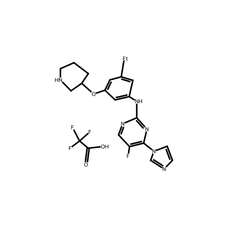 CCc1cc(Nc2ncc(F)c(-n3ccnc3)n2)cc(OC2CCCNC2)c1.O=C(O)C(F)(F)F